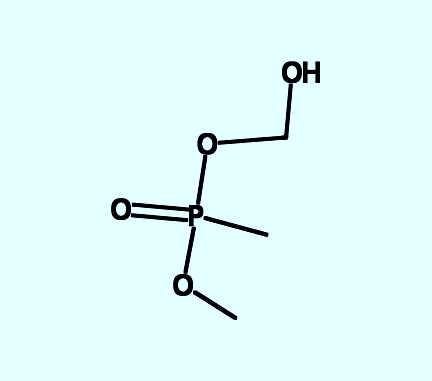 COP(C)(=O)OCO